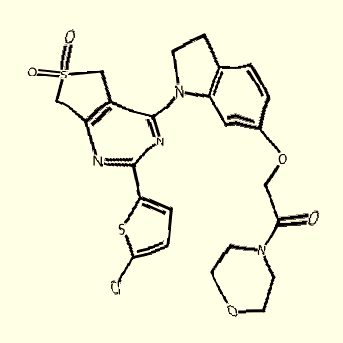 O=C(COc1ccc2c(c1)N(c1nc(-c3ccc(Cl)s3)nc3c1CS(=O)(=O)C3)CC2)N1CCOCC1